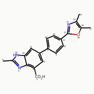 Cc1nc2c(C(=O)O)cc(-c3ccc(-c4nc(C)c(C)o4)cc3)cc2[nH]1